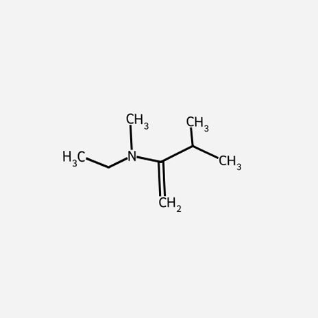 C=C(C(C)C)N(C)CC